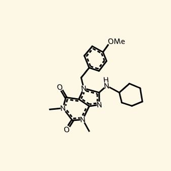 COc1ccc(Cn2c(NC3CCCCC3)nc3c2c(=O)n(C)c(=O)n3C)cc1